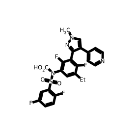 CCc1cc(N(C(=O)O)S(=O)(=O)c2cc(F)ccc2F)c(F)c(-c2nn(C)cc2-c2ccncc2)c1F